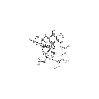 CCOC(=O)CC/C(C)=C/Cc1c(OC)c(C)c2c(c1OP(=O)(N[C@@H](C)C(=O)OC(C)C)N[C@@H](C)C(=O)OC(C)C)C(=O)OC2